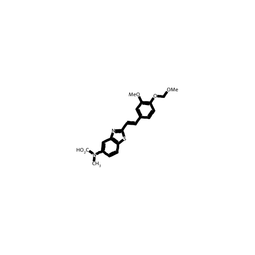 COCOc1ccc(/C=C/c2nc3cc(N(C)C(=O)O)ccc3s2)cc1OC